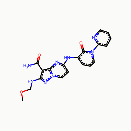 COCNc1nn2ccc(Nc3cccn(-c4ccccn4)c3=O)nc2c1C(N)=O